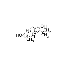 C=C(C)c1cc2c(cc1O)CC[C@@H]1[C@@H]2[C@@H](F)C[C@]2(C)C[C@H](O)C[C@@H]12